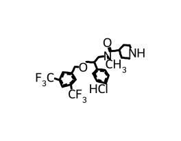 CN(CC(COCc1cc(C(F)(F)F)cc(C(F)(F)F)c1)c1ccccc1)C(=O)C1CCNCC1.Cl